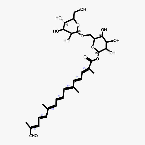 C\C(C=O)=C/C=C/C(C)=C/C=C/C=C(C)/C=C/C=C(\C)C(=O)O[C@@H]1OC(CO[C@@H]2OC(CO)[C@@H](O)C(O)C2O)[C@@H](O)C(O)C1O